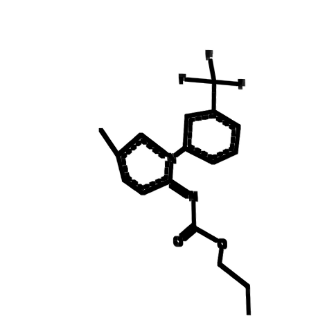 CCCOC(=O)/N=c1\ccc(C)cn1-c1cccc(C(F)(F)F)c1